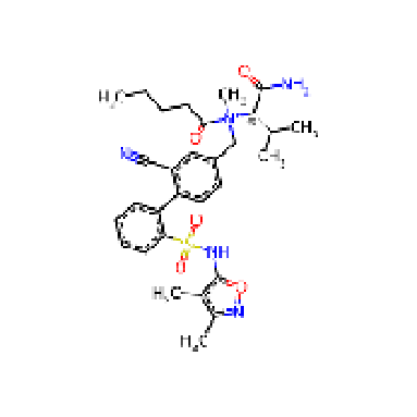 CCCCC(=O)[N+](C)(Cc1ccc(-c2ccccc2S(=O)(=O)Nc2onc(C)c2C)c(C#N)c1)[C@H](C(N)=O)C(C)C